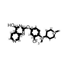 CN1CCC(N(C)c2ccc(Oc3nc(O)c4ccncc4n3)cc2C(F)(F)F)CC1